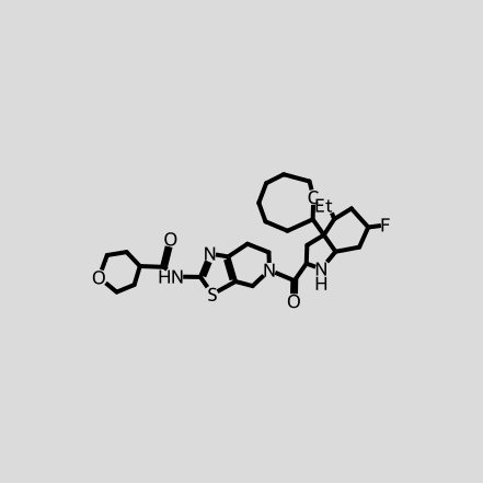 CCC1CC(F)CC2NC(C(=O)N3CCc4nc(NC(=O)C5CCOCC5)sc4C3)CC12C1CCCCCCC1